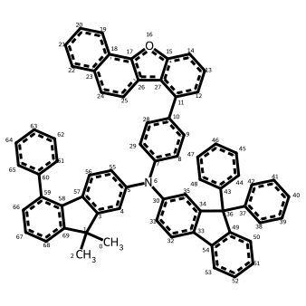 CC1(C)c2cc(N(c3ccc(-c4cccc5oc6c7ccccc7ccc6c45)cc3)c3ccc4c(c3)C(c3ccccc3)(c3ccccc3)c3ccccc3-4)ccc2-c2c(-c3ccccc3)cccc21